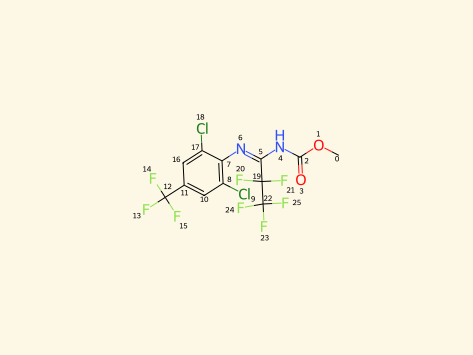 COC(=O)N/C(=N/c1c(Cl)cc(C(F)(F)F)cc1Cl)C(F)(F)C(F)(F)F